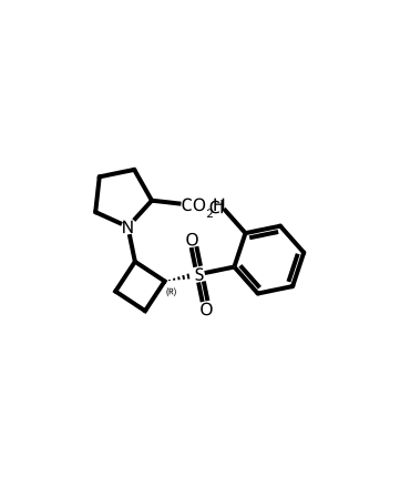 O=C(O)C1CCCN1C1CC[C@H]1S(=O)(=O)c1ccccc1Cl